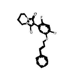 O=c1c(-c2cc(OCC=Cc3ccccc3)c(Cl)cc2F)c(Cl)n2n1CCCC2